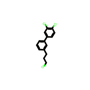 ClCCCc1cccc(-c2ccc(Cl)c(Cl)c2)c1